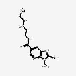 Cn1c(N)nc2cc(C(=O)NCCOCCO)ccc21